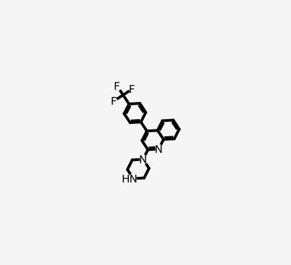 FC(F)(F)c1ccc(-c2cc(N3CCNCC3)nc3ccccc23)cc1